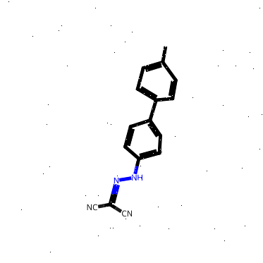 Cc1ccc(-c2ccc(NN=C(C#N)C#N)cc2)cc1